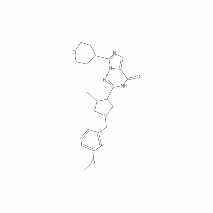 COc1cccc(CN2CC(C)C(c3nn4c(C5CCOCC5)ncc4c(=O)[nH]3)C2)c1